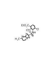 CCOC(=O)c1ccc(Cl)c(NS(=O)(=O)c2nc3nc(C)ccn3n2)c1Cl